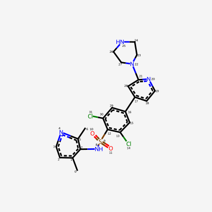 Cc1ccnc(C)c1NS(=O)(=O)c1c(Cl)cc(-c2ccnc(N3CCNCC3)c2)cc1Cl